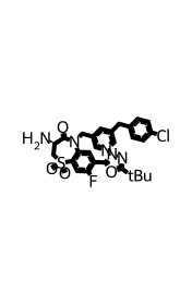 CC(C)(C)c1nnc(-c2cc3c(cc2F)S(=O)(=O)C[C@H](N)C(=O)N3Cc2cncc(Cc3ccc(Cl)cc3)c2)o1